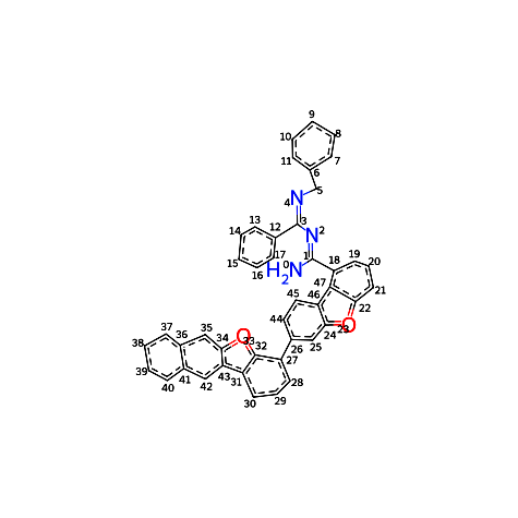 N/C(=N\C(=N/Cc1ccccc1)c1ccccc1)c1cccc2oc3cc(-c4cccc5c4oc4cc6ccccc6cc45)ccc3c12